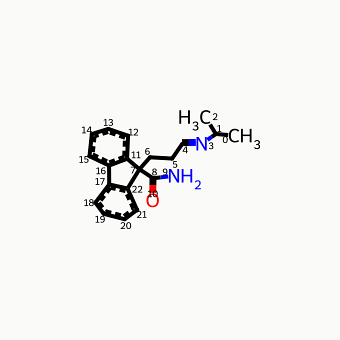 CC(C)N=CCCC1(C(N)=O)c2ccccc2-c2ccccc21